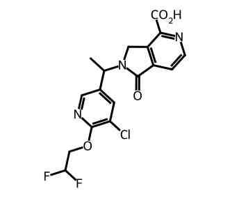 CC(c1cnc(OCC(F)F)c(Cl)c1)N1Cc2c(ccnc2C(=O)O)C1=O